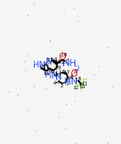 C[C@@H]1CC[C@@H](C(=O)NCC(F)(F)F)CCN1NC1=c2cc[nH]c2=NC=C(C(N)=O)C1